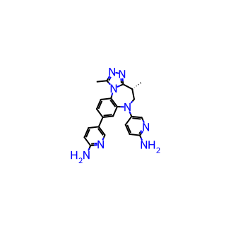 Cc1nnc2n1-c1ccc(-c3ccc(N)nc3)cc1N(c1ccc(N)nc1)C[C@H]2C